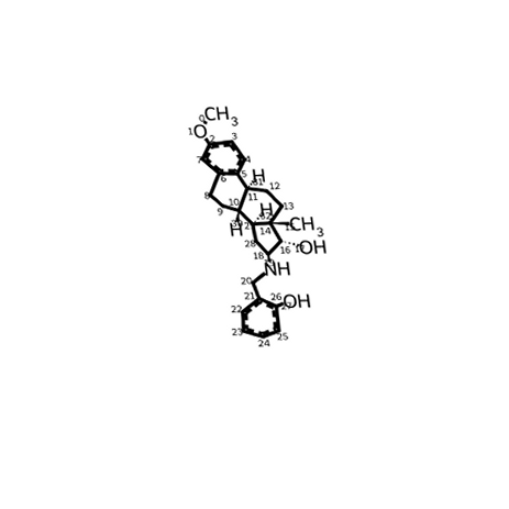 COc1ccc2c(c1)CC[C@@H]1[C@@H]2CC[C@]2(C)[C@H](O)[C@@H](NCc3ccccc3O)C[C@@H]12